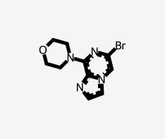 Brc1cn2ccnc2c(N2CCOCC2)n1